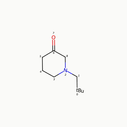 CC(C)(C)CN1CCCC(=O)C1